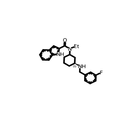 CCN(C(=O)c1cc2ccccc2[nH]1)C1CCC[C@H](NCc2cccc(F)c2)C1